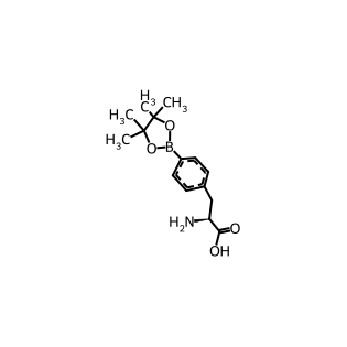 CC1(C)OB(c2ccc(C[C@H](N)C(=O)O)cc2)OC1(C)C